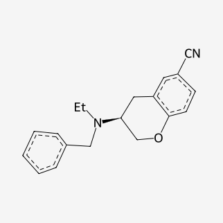 CCN(Cc1ccccc1)[C@@H]1COc2ccc(C#N)cc2C1